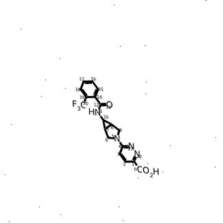 O=C(O)c1ccc(N2CC3C(C2)C3NC(=O)c2ccccc2C(F)(F)F)nn1